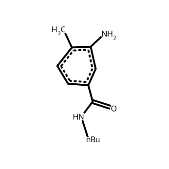 CCCCNC(=O)c1ccc(C)c(N)c1